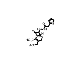 CC(=O)OCC1=C(C(=O)O)N2C(=O)C(NNC(=O)Cc3cccs3)[C@@H]2SC1